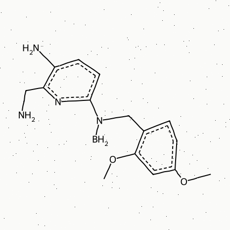 BN(Cc1ccc(OC)cc1OC)c1ccc(N)c(CN)n1